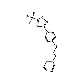 FC(F)(F)c1nc(-c2ccc(SCCc3ccccc3)cc2)no1